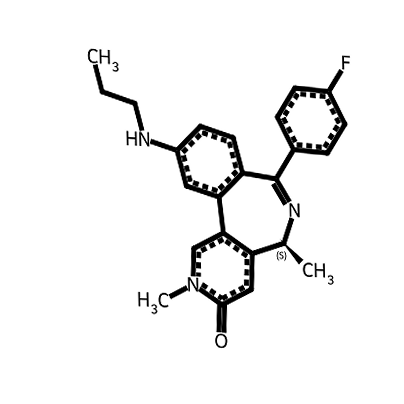 CCCNc1ccc2c(c1)-c1cn(C)c(=O)cc1[C@H](C)N=C2c1ccc(F)cc1